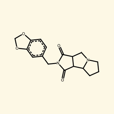 O=C1C2[CH]N3CCCC3C2C(=O)N1Cc1ccc2c(c1)OCO2